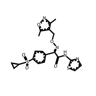 Cc1noc(C)c1CO/N=C(/C(=O)Nc1nccs1)c1ccc(S(=O)(=O)C2CC2)cc1